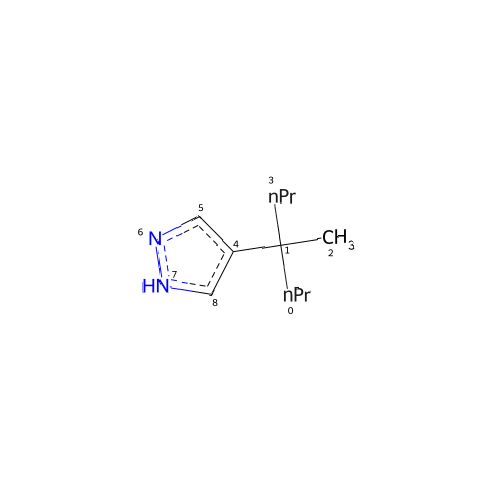 CCCC(C)(CCC)c1cn[nH]c1